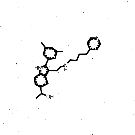 Cc1cc(C)cc(-c2[nH]c3ccc(C(C)O)cc3c2CCNCCCCc2ccncc2)c1